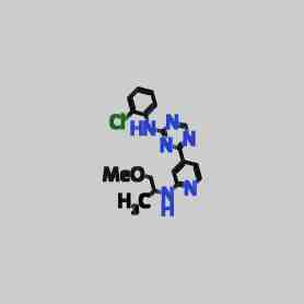 COCC(C)Nc1cc(-c2ncnc(Nc3ccccc3Cl)n2)ccn1